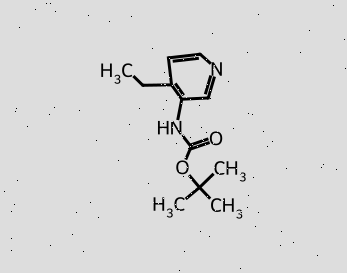 CCc1ccncc1NC(=O)OC(C)(C)C